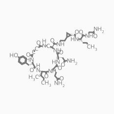 CCC[C@H](NC(=O)[C@H]1CC1CCNC(=O)[C@@H]1CNC(=O)CCC(=O)N[C@@H](Cc2ccc(O)cc2)C(=O)N[C@@H]([C@@H](C)CC)C(=O)N[C@@H](CCC(N)=O)C(=O)N[C@@H](CC(N)=O)C(=O)N1)C(=O)NCC(N)=O